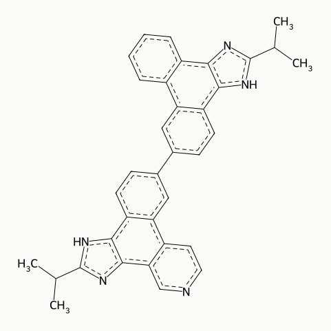 CC(C)c1nc2c3ccccc3c3cc(-c4ccc5c(c4)c4ccncc4c4nc(C(C)C)[nH]c54)ccc3c2[nH]1